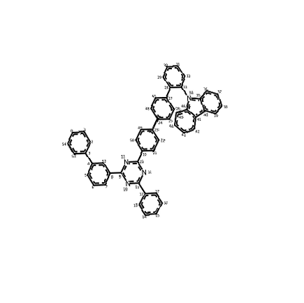 c1ccc(-c2cccc(-c3nc(-c4ccccc4)nc(-c4ccc(-c5ccc(-c6ccccc6-n6c7ccccc7c7ccccc76)cc5)cc4)n3)c2)cc1